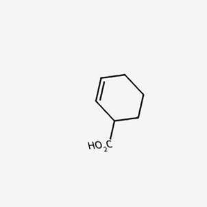 O=C(O)C1C=CCCC1